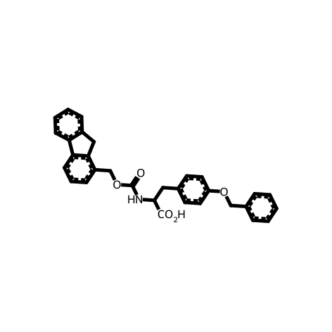 O=C(NC(Cc1ccc(OCc2ccccc2)cc1)C(=O)O)OCc1cccc2c1Cc1ccccc1-2